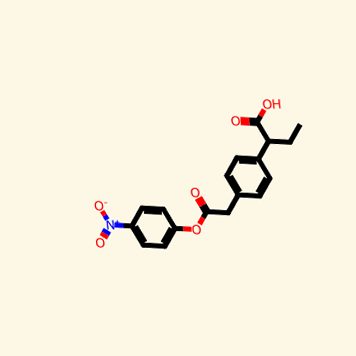 CCC(C(=O)O)c1ccc(CC(=O)Oc2ccc([N+](=O)[O-])cc2)cc1